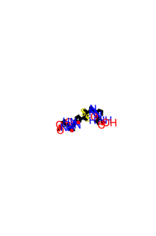 COC(=O)N[C@H](C(=O)N1CCCC1c1nc2cc(-c3csc4c(-c5cnc(C6CCCN6C(=O)[C@@H](NC(=O)O)C(C)C)[nH]5)csc34)ccc2[nH]1)C(C)C